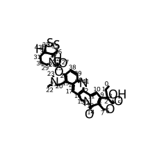 CC[C@]1(O)C(=O)OCc2c1cc1n(c2=O)Cc2cc3c(CN(C)C)c(OC(=O)N4CCC[C@@H]5CSSC[C@H]54)ccc3nc2-1